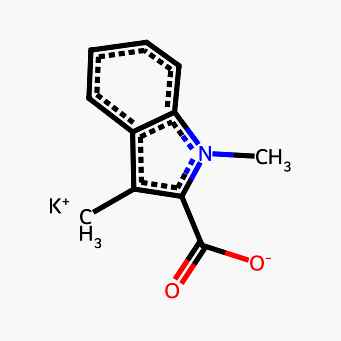 Cc1c(C(=O)[O-])n(C)c2ccccc12.[K+]